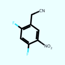 N#CCc1cc([N+](=O)[O-])c(F)cc1F